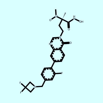 C[S+]([O-])[C@](C)(CCn1cnc2cc(-c3ccc(CN4CC(F)(F)C4)cc3F)ccc2c1=O)C(=O)NO